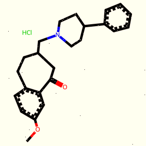 COc1ccc2c(c1)C(=O)CC(CN1CCC(c3ccccc3)CC1)CC2.Cl